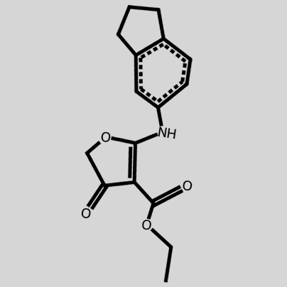 CCOC(=O)C1=C(Nc2ccc3c(c2)CCC3)OCC1=O